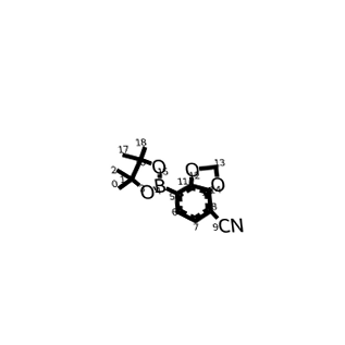 CC1(C)OB(c2ccc(C#N)c3c2OCO3)OC1(C)C